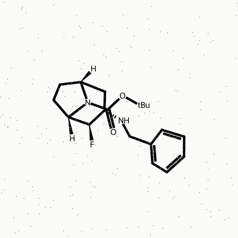 CC(C)(C)OC(=O)N1[C@@H]2CC[C@H]1[C@H](F)[C@@H](NCc1ccccc1)C2